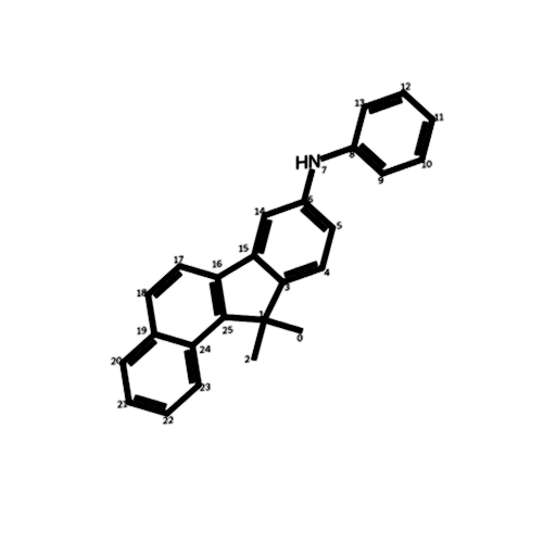 CC1(C)c2ccc(Nc3ccccc3)cc2-c2ccc3ccccc3c21